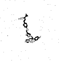 OC(/C=C/c1ccc(OCc2cn(CC(O)(Cn3cncn3)c3ccc(F)cc3F)nn2)cc1)C1CC1